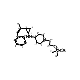 CC(=Cc1ccccc1)C1C[C@@H]1NC1CCN(CCO[Si](C)(C)C(C)(C)C)CC1